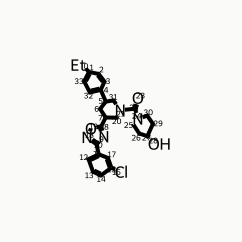 CCc1ccc(C2CC(c3nc(-c4cccc(Cl)c4)no3)CN(C(=O)N3CCC(O)CC3)C2)cc1